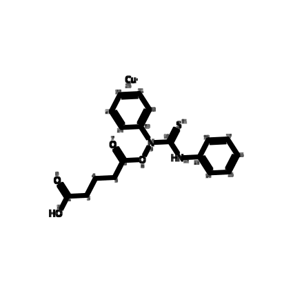 O=C(O)CCCC(=O)ON(C(=S)Nc1ccccc1)c1ccccc1.[Cu]